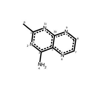 Cc1nc(N)c2nccnc2n1